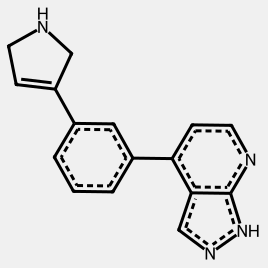 C1=C(c2cccc(-c3ccnc4[nH]ncc34)c2)CNC1